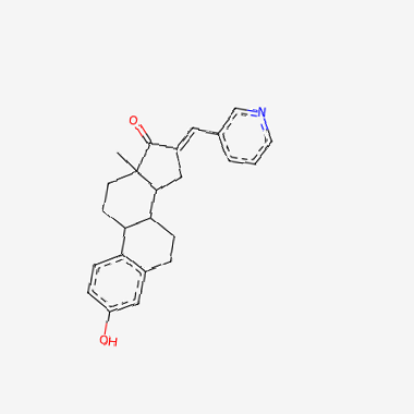 CC12CCC3c4ccc(O)cc4CCC3C1C/C(=C\c1cccnc1)C2=O